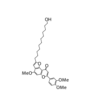 COc1ccc(-c2cc(=O)c3c(cc(OC)c4cc(CCCCCCCCCCCCO)oc43)o2)cc1OC